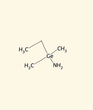 C[CH2][Ge]([CH3])([CH3])[NH2]